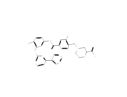 Cc1ccc(NC(=O)c2ccc(CN3CCNC(C(N)=O)C3)c(C(F)(F)F)c2)cc1Nc1nccc(-c2cncnc2)n1.Cl